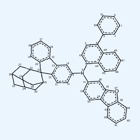 c1ccc(-c2ccc(N(c3ccc4c(c3)-c3ccccc3C43C4CC5CC(C4)CC3C5)c3ccc4c(c3)oc3ccccc34)c3ccccc23)cc1